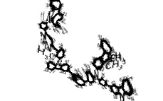 CC1C(C2=NI=NC(c3cccc(-n4c5ccccc5c5ccccc54)c3)=C2)=CC=CC1n1c2ccccc2c2cc(-c3cccc(-c4ccc(N(c5ccc(-c6ccc7c(c6)c6ccccc6n7-c6ccccc6)cc5)c5ccc6c(c5)C(C)(C)C5(C)C=CC=CC65)cc4)c3)ccc21